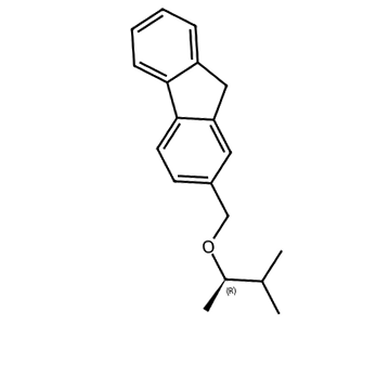 CC(C)[C@@H](C)OCc1ccc2c(c1)Cc1ccccc1-2